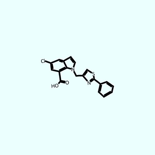 O=C(O)c1cc(Cl)cc2ccn(Cc3csc(-c4ccccc4)n3)c12